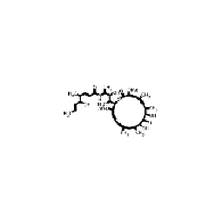 CC=CC(O)C(C)C=CC(=O)NC(C)C(O)C(C)C1OC(=O)C(OC)=CC(C)=CC(C)C(O)C(CC)C(O)C(C)CC(C)=CC=CC1OC